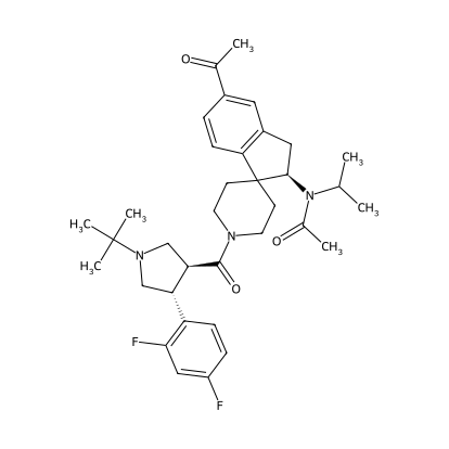 CC(=O)c1ccc2c(c1)C[C@@H](N(C(C)=O)C(C)C)C21CCN(C(=O)[C@@H]2CN(C(C)(C)C)C[C@H]2c2ccc(F)cc2F)CC1